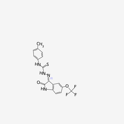 Cc1ccc(NC(=S)N/N=C2\C(=O)Nc3ccc(OC(F)(F)F)cc32)cc1